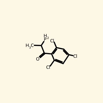 CC(P)C(=O)c1c(Cl)cc(Cl)cc1Cl